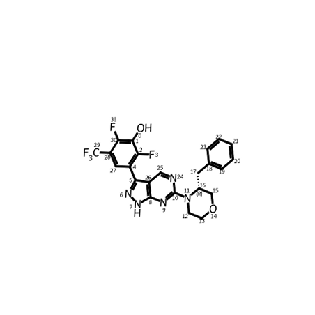 Oc1c(F)c(-c2n[nH]c3nc(N4CCOC[C@H]4Cc4ccccc4)ncc23)cc(C(F)(F)F)c1F